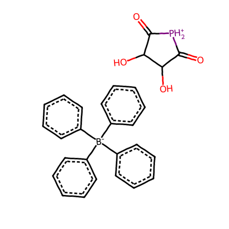 O=C1[PH2+]C(=O)C(O)C1O.c1ccc([B-](c2ccccc2)(c2ccccc2)c2ccccc2)cc1